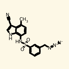 Cc1ccc(NS(=O)(=O)c2cccc(CN=[N+]=[N-])c2)c2[nH]cc(C#N)c12